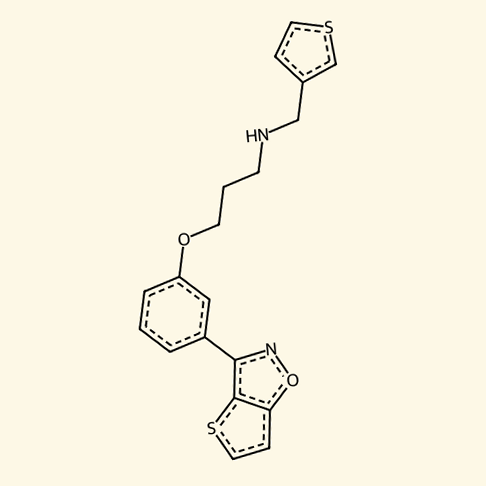 c1cc(OCCCNCc2ccsc2)cc(-c2noc3ccsc23)c1